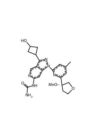 CO[C@@]1(c2cc(C)cc(-n3nc(C4CC(O)C4)c4cnc(NC(N)=O)cc43)n2)CCOC1